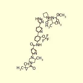 COC(=O)NC(C(=O)N1CCC[C@H]1c1nc(-c2ccc(-c3ccc(NC(=O)c4ccc(N5CCN(C(=O)[C@H]6CC6(C)C)C[C@@H]5C)nc4)cc3OC(F)(F)F)nc2)c[nH]1)C(C)C